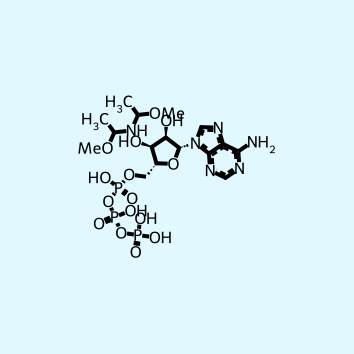 COC(C)NC(C)OC.Nc1ncnc2c1ncn2[C@@H]1O[C@H](COP(=O)(O)OP(=O)(O)OP(=O)(O)O)[C@@H](O)[C@H]1O